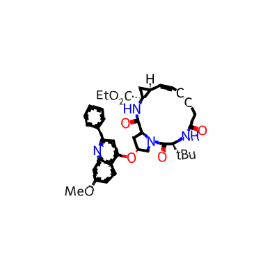 CCOC(=O)[C@]12C[C@H]1/C=C\CCCC(=O)N[C@@H](C(C)(C)C)C(=O)N1C[C@H](Oc3cc(-c4ccccc4)nc4cc(OC)ccc34)CC1C(=O)N2